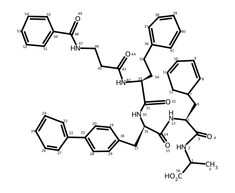 CC(NC(=O)[C@H](CC1C=CC=CC1)NC(=O)[C@@H](Cc1ccc(-c2ccccc2)cc1)NC(=O)[C@H](CCc1ccccc1)NC(=O)CCNC(=O)c1ccccc1)C(=O)O